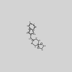 c1ccc2sc(SN3CCC4(CC3)OCCO4)nc2c1